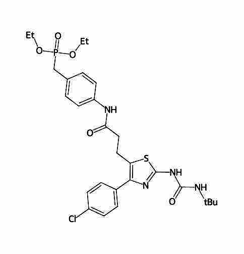 CCOP(=O)(Cc1ccc(NC(=O)CCc2sc(NC(=O)NC(C)(C)C)nc2-c2ccc(Cl)cc2)cc1)OCC